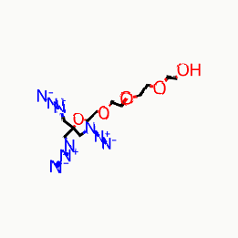 [N-]=[N+]=NCC(CN=[N+]=[N-])(CN=[N+]=[N-])OCCOCCOCCOCCO